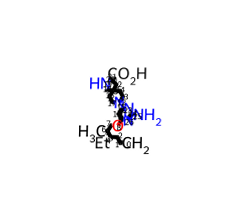 C=CCC(CC)C(C)COc1cc(N2CCC3(CC2)CN[C@H](C(=O)O)C3)nc(N)n1